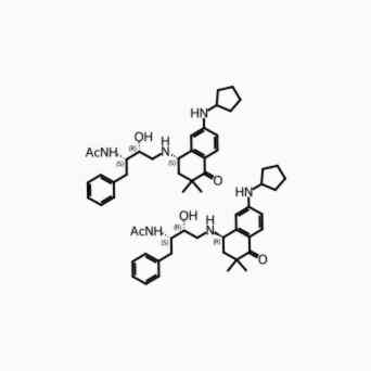 CC(=O)N[C@@H](Cc1ccccc1)[C@H](O)CN[C@@H]1CC(C)(C)C(=O)c2ccc(NC3CCCC3)cc21.CC(=O)N[C@@H](Cc1ccccc1)[C@H](O)CN[C@H]1CC(C)(C)C(=O)c2ccc(NC3CCCC3)cc21